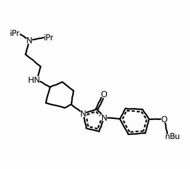 CCCCOc1ccc(-n2ccn(C3CCC(NCCN(C(C)C)C(C)C)CC3)c2=O)cc1